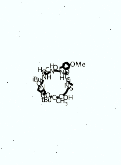 CC[C@H](C)[C@@H]1NC(=O)[C@H](C)NC(=O)[C@H](Cc2ccc(OC)cc2)NC(=O)CC[C@@H]2CSC(=N2)C[C@@H](O)C[C@H](C)C[C@@H](C(C)(C)C)OC(=O)[C@@H]2CCCN2C1=O